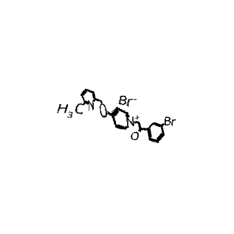 Cc1cccc(COc2cc[n+](CC(=O)c3cccc(Br)c3)cc2)n1.[Br-]